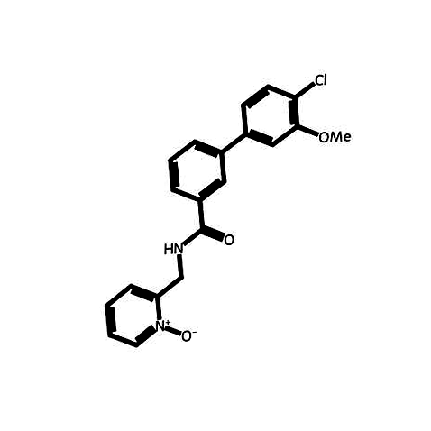 COc1cc(-c2cccc(C(=O)NCc3cccc[n+]3[O-])c2)ccc1Cl